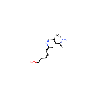 CC(=C\C=C/CCO)/N=C\C(=CC(C)N)[N+](=O)[O-]